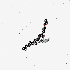 CCCCCCCCC1(CCCCCCCC)c2cc3c(cc2-c2cc4c(cc21)-c1c(cc(-c2ccc5c(c2)C(C)(C)c2cc(-c6ccc7c(c6)oc6ccccc67)ccc2-5)c2ccccc12)C4(C)C)C(C)(C)c1cc(-c2ccc4c(c2)C(C)(C)c2cc(-c5ccc6c(c5)oc5ccccc56)ccc2-4)c2ccccc2c1-3